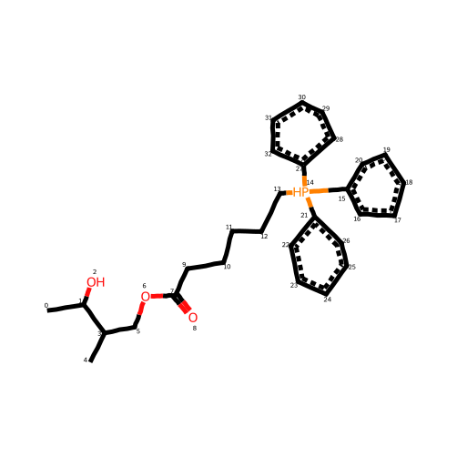 CC(O)C(C)COC(=O)CCCCC[PH](c1ccccc1)(c1ccccc1)c1ccccc1